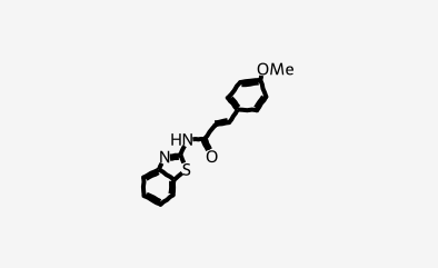 COc1ccc(/C=C/C(=O)Nc2nc3ccccc3s2)cc1